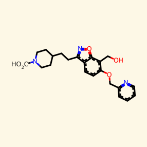 O=C(O)N1CCC(CCc2noc3c(CO)c(OCc4ccccn4)ccc23)CC1